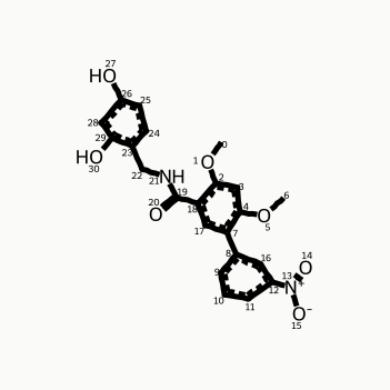 COc1cc(OC)c(-c2cccc([N+](=O)[O-])c2)cc1C(=O)NCc1ccc(O)cc1O